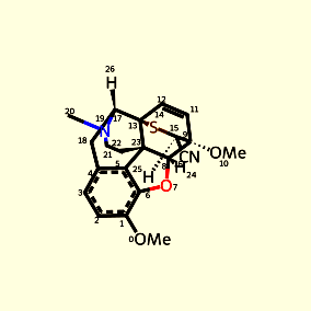 COc1ccc2c3c1O[C@H]1[C@]4(OC)C=C[C@@]5(S[C@@H]4C#N)[C@@H](C2)N(C)CC[C@]315